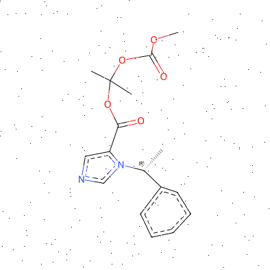 COC(=O)OC(C)(C)OC(=O)c1cncn1[C@H](C)c1ccccc1